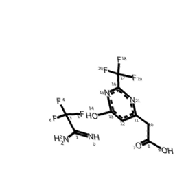 N=C(N)C(F)(F)F.O=C(O)Cc1cc(O)nc(C(F)(F)F)n1